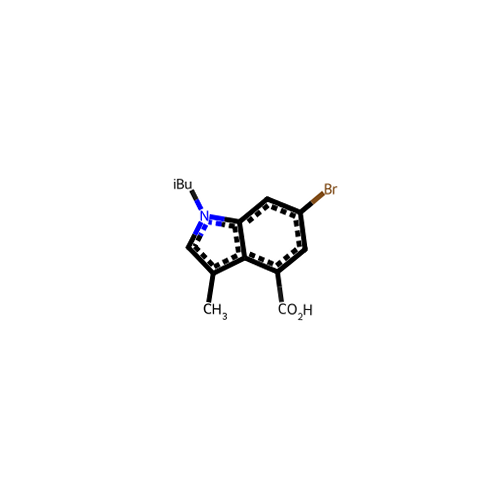 CCC(C)n1cc(C)c2c(C(=O)O)cc(Br)cc21